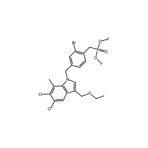 CCOCc1cn(Cc2ccc(CP(=O)(OF)OF)c(Br)c2)c2c(C)c(Cl)c(Cl)cc12